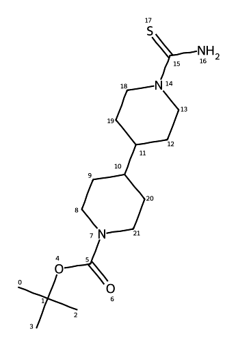 CC(C)(C)OC(=O)N1CCC(C2CCN(C(N)=S)CC2)CC1